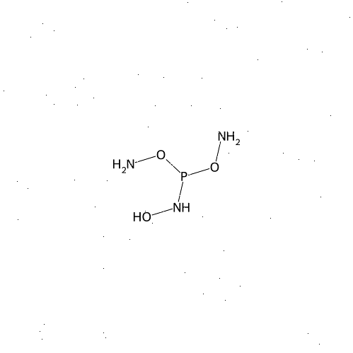 NOP(NO)ON